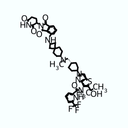 CN(C[C@H]1CC[C@H](n2cc3sc(C(C)(C)O)c(NC(=O)c4cccc(C(F)(F)F)n4)c3n2)CC1)C1CCC2(CC1)CC(Nc1cccc3c1C(=O)N(C1CCC(=O)NC1=O)C3=O)C2